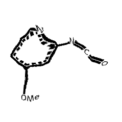 COc1ccnc(N=C=O)c1